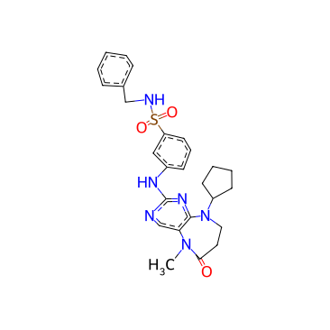 CN1C(=O)CCN(C2CCCC2)c2nc(Nc3cccc(S(=O)(=O)NCc4ccccc4)c3)ncc21